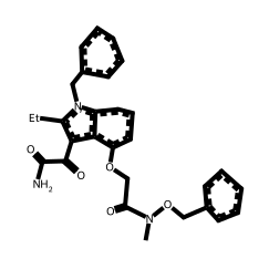 CCc1c(C(=O)C(N)=O)c2c(OCC(=O)N(C)OCc3ccccc3)cccc2n1Cc1ccccc1